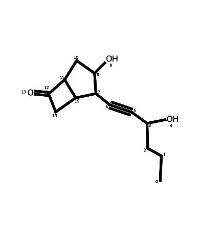 CCCC(O)C#CC1C(O)CC2C(=O)CC21